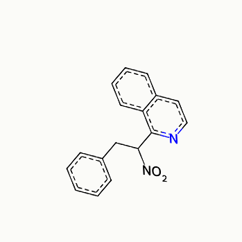 O=[N+]([O-])C(Cc1ccccc1)c1nccc2ccccc12